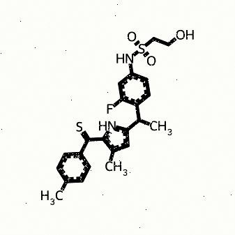 Cc1ccc(C(=S)c2[nH]c(C(C)c3ccc(NS(=O)(=O)CCO)cc3F)cc2C)cc1